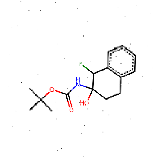 CC(C)(C)OC(=O)NC1(O)CCc2ccccc2C1F